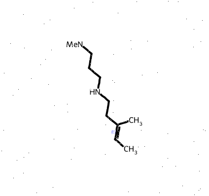 C/C=C(\C)CCNCCCNC